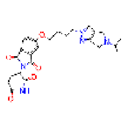 CC(C)N1Cc2cn(CCCCOc3ccc4c(c3)C(=O)N(C3CCC(=O)NC3=O)C4=O)nc2C1